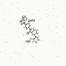 COc1cc(N2CC3=C(CC(C4=C(CO)CCC=C4)C=C3)C2=O)ccc1-n1cnc(C)c1